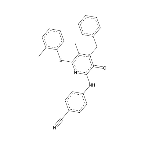 Cc1ccccc1Sc1nc(Nc2ccc(C#N)cc2)c(=O)n(Cc2ccccc2)c1C